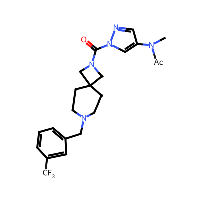 CC(=O)N(C)c1cnn(C(=O)N2CC3(CCN(Cc4cccc(C(F)(F)F)c4)CC3)C2)c1